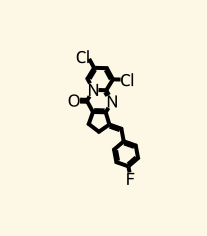 O=c1c2c(nc3c(Cl)cc(Cl)cn13)C(=Cc1ccc(F)cc1)CC2